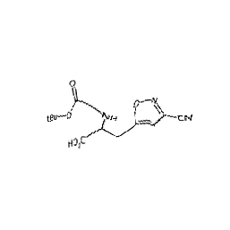 CC(C)(C)OC(=O)NC(Cc1cc(C#N)no1)C(=O)O